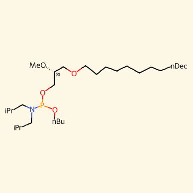 CCCCCCCCCCCCCCCCCCOC[C@H](COP(OCCCC)N(CC(C)C)CC(C)C)OC